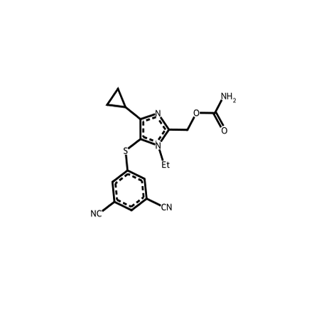 CCn1c(COC(N)=O)nc(C2CC2)c1Sc1cc(C#N)cc(C#N)c1